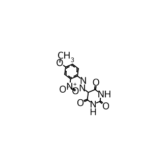 COc1ccc(N=NC2C(=O)NC(=O)NC2=O)c([N+](=O)[O-])c1